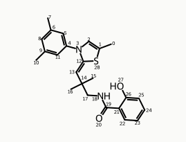 CC1=CN(c2cc(C)cc(C)c2)C(=CC(C)(C)CNC(=O)c2ccccc2O)S1